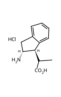 CC(C(=O)O)[C@@H]1c2ccccc2C[C@H]1N.Cl